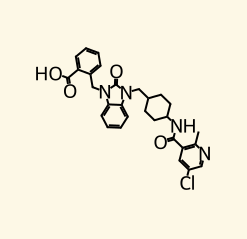 Cc1ncc(Cl)cc1C(=O)NC1CCC(Cn2c(=O)n(Cc3ccccc3C(=O)O)c3ccccc32)CC1